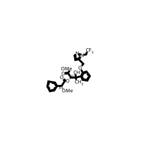 COC(=O)[C@@H](OC(=O)[C@H](OC)c1ccccc1)C(C)(C)c1ccccc1OCc1ccnn1CC(F)(F)F